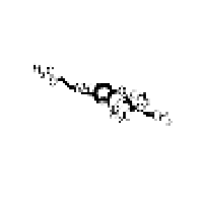 C=C(OCC)C(C)(C)Oc1ccc(CNCCOC)cc1